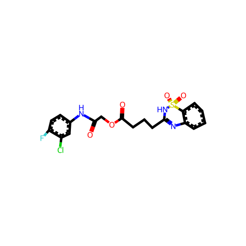 O=C(COC(=O)CCCC1=Nc2ccccc2S(=O)(=O)N1)Nc1ccc(F)c(Cl)c1